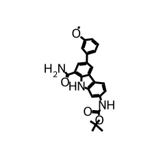 COc1cccc(-c2cc(C(N)=O)c3[nH]c4cc(NC(=O)OC(C)(C)C)ccc4c3c2)c1